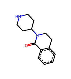 O=C1c2ccccc2CCN1C1CCNCC1